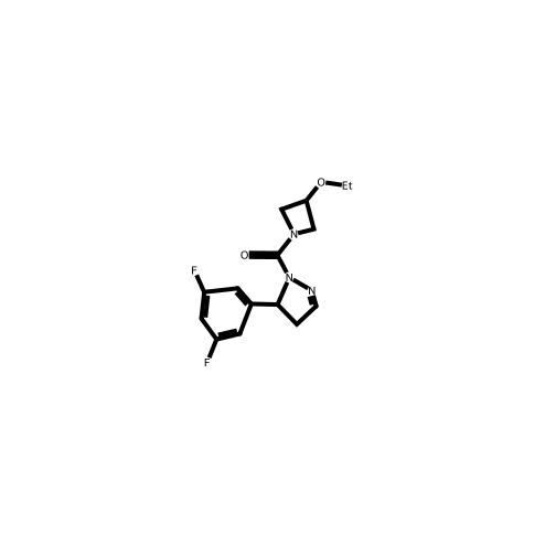 CCOC1CN(C(=O)N2N=CCC2c2cc(F)cc(F)c2)C1